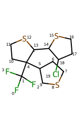 FC(F)(F)C1(C2CCSC2)CCS[C]1C1SCCC1Cl